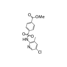 COC(=O)c1ccc(S(=O)(=O)Nc2ncc(Cl)cc2C)cc1